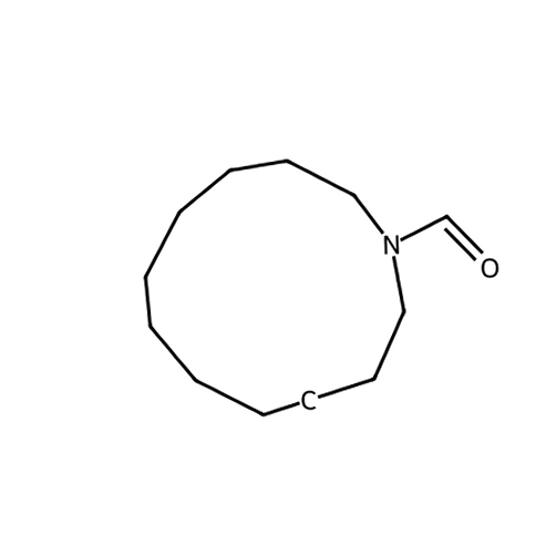 O=CN1CCCCCCCCCCC1